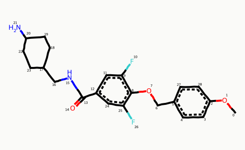 COc1ccc(COc2c(F)cc(C(=O)NCC3CCC(N)CC3)cc2F)cc1